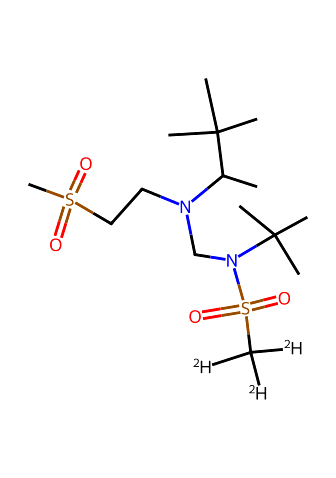 [2H]C([2H])([2H])S(=O)(=O)N(CN(CCS(C)(=O)=O)C(C)C(C)(C)C)C(C)(C)C